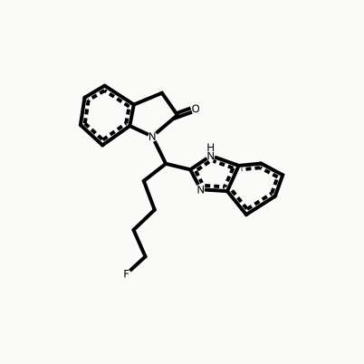 O=C1Cc2ccccc2N1C(CCCCF)c1nc2ccccc2[nH]1